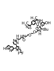 Cc1ncsc1-c1ccc([C@H](C)NC(=O)[C@@H]2C[C@@H](O)CN2C(=O)[C@H](NC(=O)COCCOCCNC(=O)CCNc2nccc(-c3cn(CC(F)F)nc3-c3cnc4[nH]ccc4c3)n2)C(C)(C)C)cc1